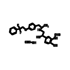 CC(Cc1ccc(OCC(F)(F)c2ccccc2)cc1)NC[C@H](O)c1ccc(O)c(NC=O)c1.O=CO